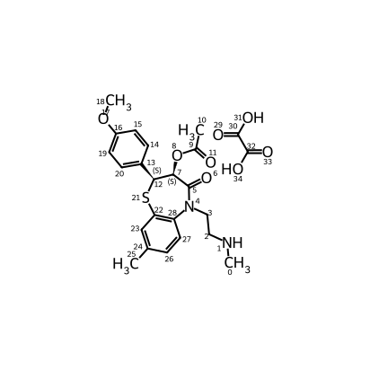 CNCCN1C(=O)[C@H](OC(C)=O)[C@H](c2ccc(OC)cc2)Sc2cc(C)ccc21.O=C(O)C(=O)O